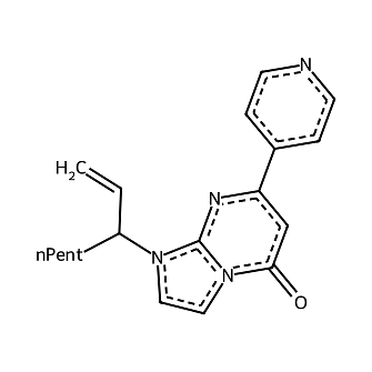 C=CC(CCCCC)n1ccn2c(=O)cc(-c3ccncc3)nc12